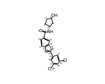 O=C(N[C@@H]1CC[C@@H](O)C1)c1ccc2nc(-c3cc(Cl)cc(Cl)c3)oc2c1